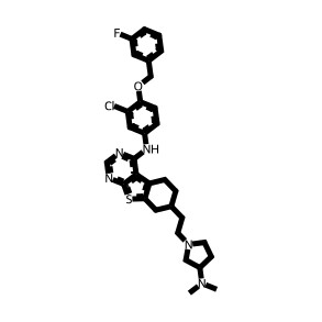 CN(C)C1CCN(CCC2CCc3c(sc4ncnc(Nc5ccc(OCc6cccc(F)c6)c(Cl)c5)c34)C2)C1